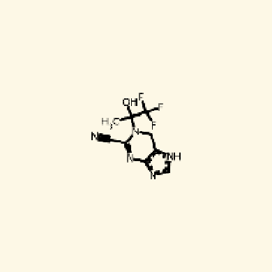 CC(O)(N1Cc2[nH]cnc2N=C1C#N)C(F)(F)F